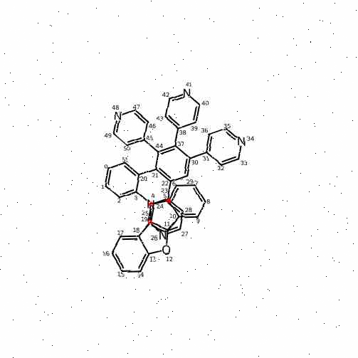 c1ccc(-n2c3ccccc3c3oc4ccccc4c32)c(-c2c(-c3ccncc3)cc(-c3ccncc3)c(-c3ccncc3)c2-c2ccncc2)c1